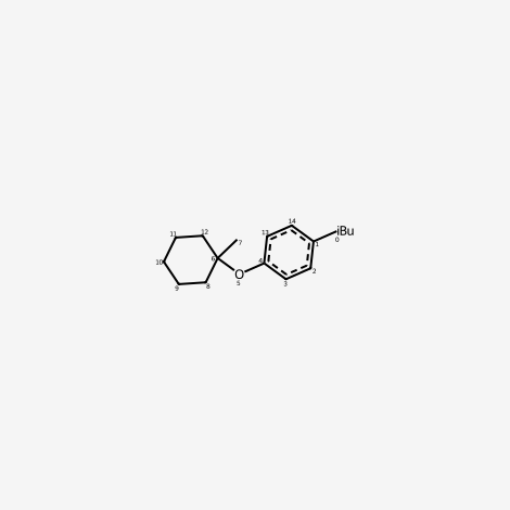 CCC(C)c1ccc(OC2(C)CCCCC2)cc1